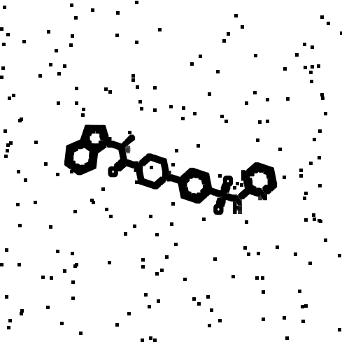 C[C@@H](C(=O)N1CCN(c2ccc(S(=O)(=O)Nc3ncccn3)cc2)CC1)n1ccc2ccccc21